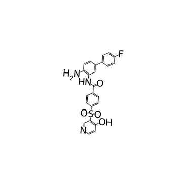 Nc1ccc(-c2ccc(F)cc2)cc1NC(=O)c1ccc(S(=O)(=O)c2cnccc2O)cc1